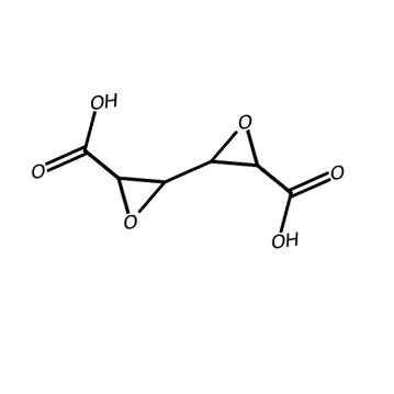 O=C(O)C1OC1C1OC1C(=O)O